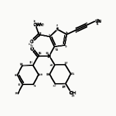 COC(=O)c1sc(C#CC(C)(C)C)cc1N(C(=O)C1CC=C(C)CC1)C1CCC(O)CC1